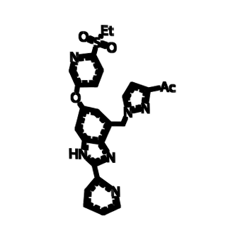 CCS(=O)(=O)c1ccc(Oc2cc(Cn3ccc(C(C)=O)n3)c3nc(-c4ccccn4)[nH]c3c2)cn1